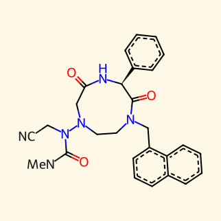 CNC(=O)N(CC#N)N1CCN(Cc2cccc3ccccc23)C(=O)[C@H](c2ccccc2)NC(=O)C1